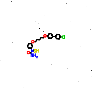 NC(=O)N(S)c1cccc(OCCCCCOc2ccc(-c3ccc(Cl)cc3)cc2)c1